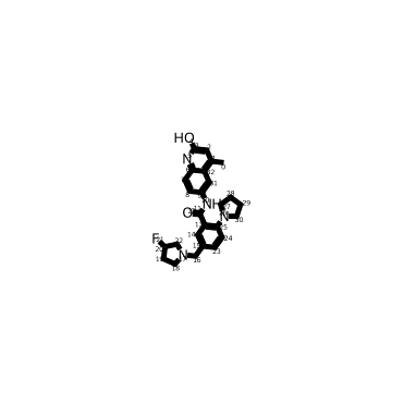 Cc1cc(O)nc2ccc(NC(=O)c3cc(CN4CCC(F)C4)ccc3N3CCCC3)cc12